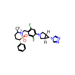 O=S1(=O)[C@H](c2ccccc2)CCC(C(F)(F)F)N1Cc1cc(F)c(N2C[C@@H]3[C@H](C2)[C@H]3n2cnnc2)cc1F